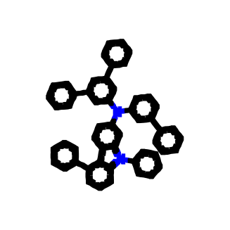 c1ccc(-c2cccc(N(c3cc(-c4ccccc4)cc(-c4ccccc4)c3)c3ccc4c5c(-c6ccccc6)cccc5n(-c5ccccc5)c4c3)c2)cc1